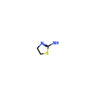 [NH]C1=NCCS1